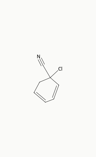 N#CC1(Cl)C=CC=CC1